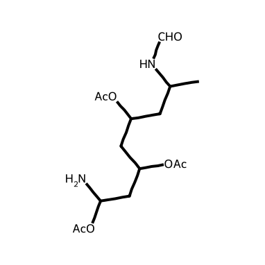 CC(=O)OC(N)CC(CC(CC(C)NC=O)OC(C)=O)OC(C)=O